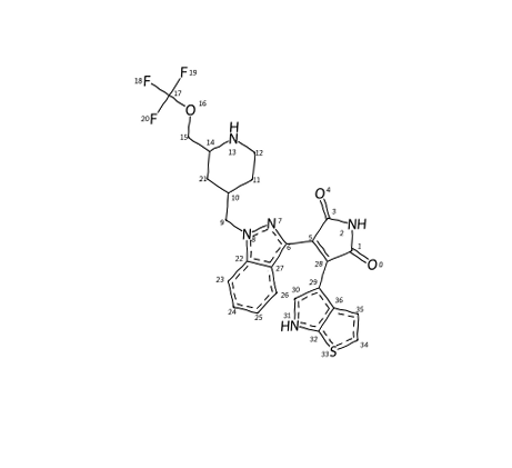 O=C1NC(=O)C(c2nn(CC3CCNC(COC(F)(F)F)C3)c3ccccc23)=C1c1c[nH]c2sccc12